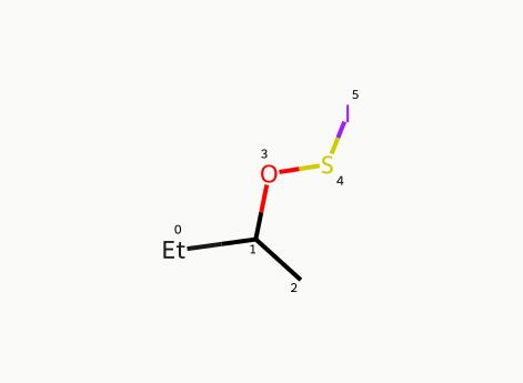 CCC(C)OSI